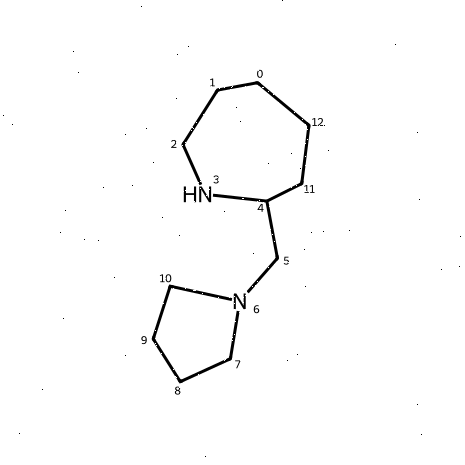 C1CCNC(CN2CCCC2)CC1